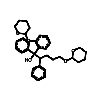 OC(c1ccccc1)(c1ccccc1OC1CCCCO1)C(CCCOC1CCCCO1)c1ccccc1